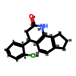 O=C1CC(c2ccccc2Cl)c2ccc3c(c2N1)CCC3